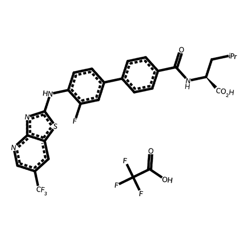 CC(C)C[C@H](NC(=O)c1ccc(-c2ccc(Nc3nc4ncc(C(F)(F)F)cc4s3)c(F)c2)cc1)C(=O)O.O=C(O)C(F)(F)F